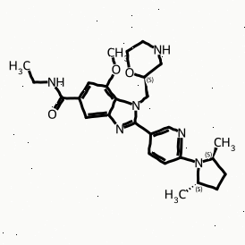 CCNC(=O)c1cc(OC)c2c(c1)nc(-c1ccc(N3[C@@H](C)CC[C@@H]3C)nc1)n2C[C@@H]1CNCCO1